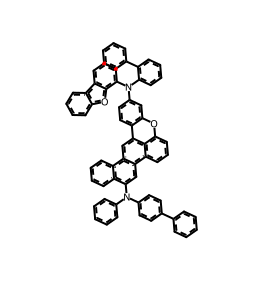 c1ccc(-c2ccc(N(c3ccccc3)c3cc4c5cccc6c5c(cc4c4ccccc34)-c3ccc(N(c4ccccc4-c4ccccc4)c4cccc5c4oc4ccccc45)cc3O6)cc2)cc1